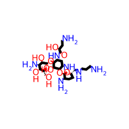 NCCCNC[C@@H]1CC[C@@H](N)[C@@H](OC2[C@@H](N)C[C@@H](NC(=O)[C@@H](O)CCN)[C@H](O[C@H]3O[C@H](CO)[C@@H](O)[C@H](N)[C@H]3O)[C@H]2O)O1